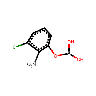 O=[N+]([O-])c1c(Cl)cccc1OB(O)O